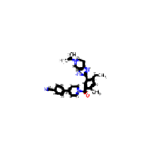 C=C(C)N1CCc2nc(-c3cc(C(=O)N4CCC(c5ccc(C#N)cc5)CC4)c(C)cc3CC)[nH]c2C1